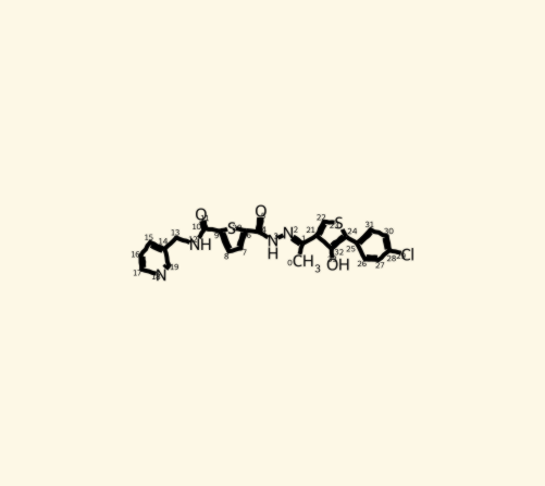 C/C(=N\NC(=O)c1ccc(C(=O)NCc2cccnc2)s1)c1csc(-c2ccc(Cl)cc2)c1O